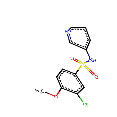 COc1ccc(S(=O)(=O)Nc2cccnc2)cc1Cl